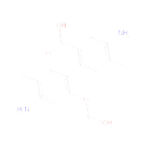 Cc1cc(-c2cc(C)c(N)cc2S(=O)O)c(OSO)cc1N